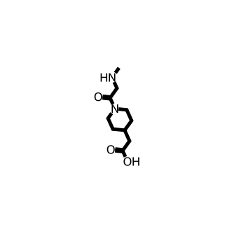 CNCC(=O)N1CCC(CC(=O)O)CC1